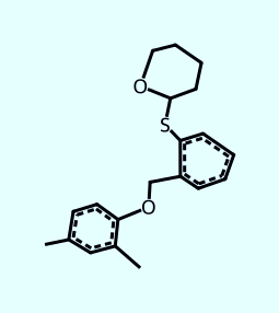 Cc1ccc(OCc2ccccc2SC2CCCCO2)c(C)c1